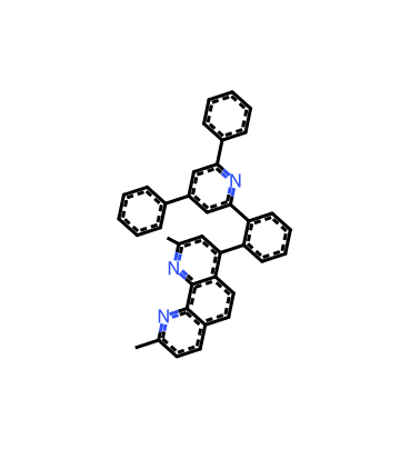 Cc1ccc2ccc3c(-c4ccccc4-c4cc(-c5ccccc5)cc(-c5ccccc5)n4)cc(C)nc3c2n1